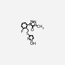 Cn1nnn(-c2cccc(F)c2CSc2ccn(O)n2)c1=O